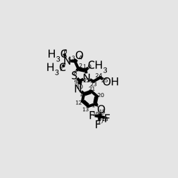 Cc1c(C(=O)N(C)C)s/c(=N/c2ccc(OC(F)(F)F)cc2)n1CCO